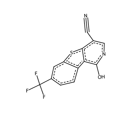 N#Cc1cnc(O)c2c1sc1cc(C(F)(F)F)ccc12